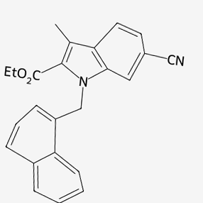 CCOC(=O)c1c(C)c2ccc(C#N)cc2n1Cc1cccc2ccccc12